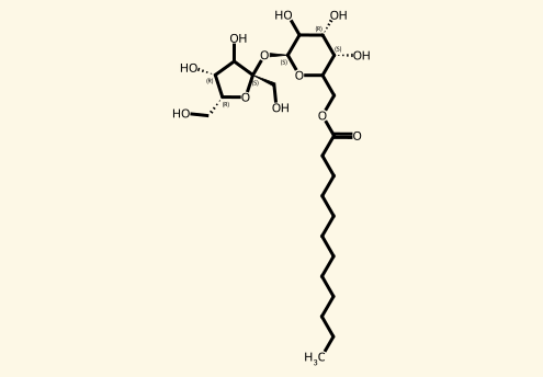 CCCCCCCCCCCC(=O)OCC1O[C@@H](O[C@]2(CO)O[C@H](CO)[C@H](O)C2O)C(O)[C@H](O)[C@@H]1O